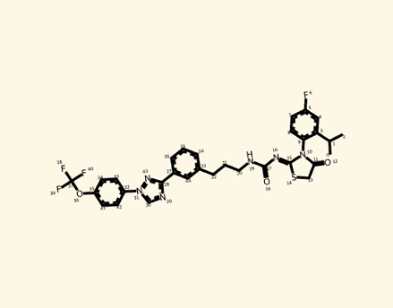 CC(C)c1cc(F)ccc1N1C(=O)CS/C1=N\C(=O)NCCCc1cccc(-c2ncn(-c3ccc(OC(F)(F)F)cc3)n2)c1